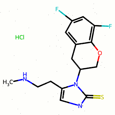 CNCCC1=C[N]C(=S)N1C1COc2c(F)cc(F)cc2C1.Cl